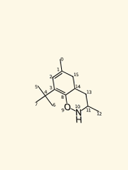 CC1=CC(C(C)(C)C)=C2ONC(C)CC2C1